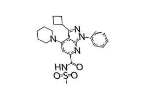 CS(=O)(=O)NC(=O)c1cc(N2CCCCC2)c2c(C3CCC3)nn(-c3ccccc3)c2n1